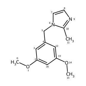 COc1cc(Cn2c[c]nc2C)cc(OC)c1